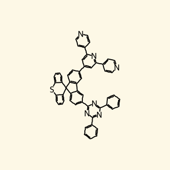 c1ccc(-c2nc(-c3ccccc3)nc(-c3ccc4c(c3)-c3cc(-c5cc(-c6ccncc6)nc(-c6ccncc6)c5)ccc3C43c4ccccc4Sc4ccccc43)n2)cc1